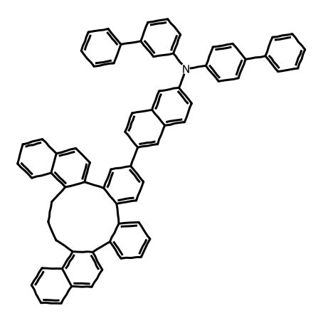 c1ccc(-c2ccc(N(c3cccc(-c4ccccc4)c3)c3ccc4cc(-c5ccc6c(c5)-c5ccc7ccccc7c5CCCc5c(ccc7ccccc57)-c5ccccc5-6)ccc4c3)cc2)cc1